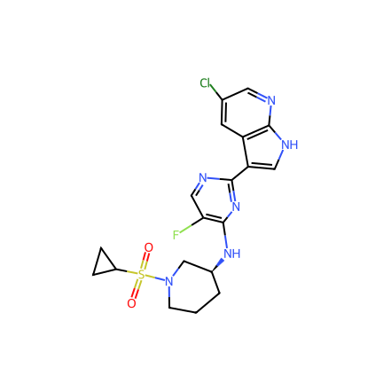 O=S(=O)(C1CC1)N1CCC[C@H](Nc2nc(-c3c[nH]c4ncc(Cl)cc34)ncc2F)C1